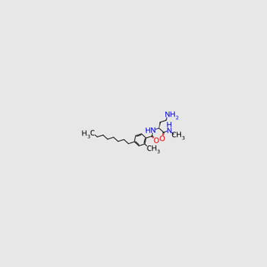 CCCCCCCCc1ccc(C(=O)N[C@@H](CCN)C(=O)NC)c(C)c1